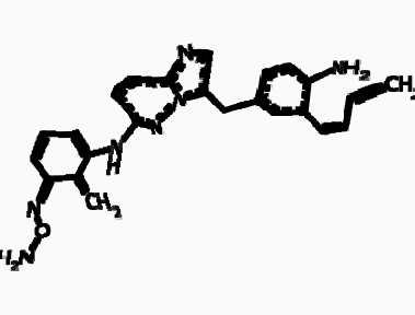 C=C/C=C\c1cc(Cc2cnc3ccc(NC4=CC=C/C(=N/ON)C4=C)nn23)ccc1N